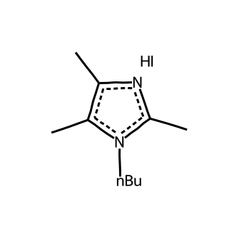 CCCCn1c(C)nc(C)c1C.I